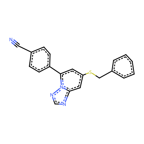 N#Cc1ccc(-c2cc(SCc3ccccc3)cc3ncnn23)cc1